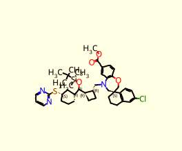 COC(=O)c1ccc2c(c1)N(C[C@@H]1CC[C@H]1[C@H](O[Si](C)(C)C(C)(C)C)[C@@H]1CCC[C@H](Sc3ncccn3)C1)C[C@@]1(CCCc3cc(Cl)ccc31)CO2